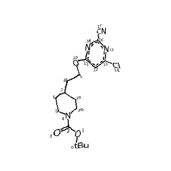 CC(C)(C)OC(=O)N1CCC(CCOc2cc(Cl)nc(C#N)n2)CC1